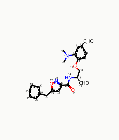 CN(C)c1cc(C=O)ccc1OC[C@@H](C=O)NC(=O)c1cc(Cc2ccccc2)on1